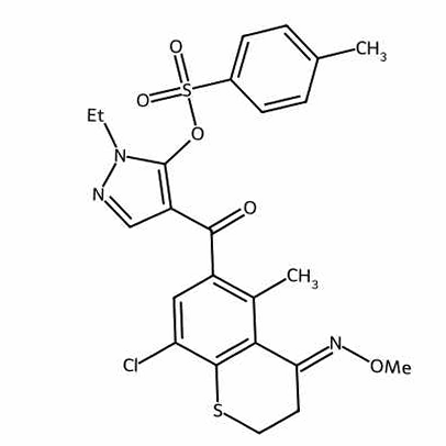 CCn1ncc(C(=O)c2cc(Cl)c3c(c2C)C(=NOC)CCS3)c1OS(=O)(=O)c1ccc(C)cc1